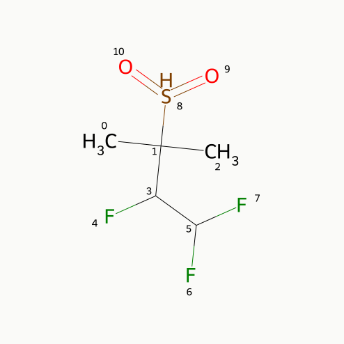 CC(C)(C(F)C(F)F)[SH](=O)=O